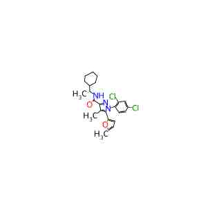 Cc1ccc(-c2c(C)c(C(=O)N[C@H](C)C3CCCCC3)nn2-c2ccc(Cl)cc2Cl)o1